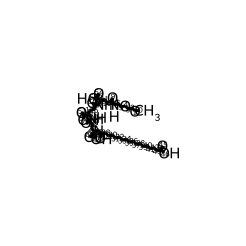 COCCOCCNC(=O)CCC(NC(=O)CCC(NC(=O)CCC(NC(=O)CCCCCCCCCCCCCCCCC(=O)O)C(=O)O)C(=O)O)C(=O)O